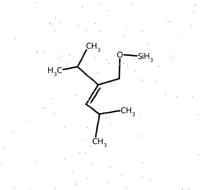 CC(C)C=C(CO[SiH3])C(C)C